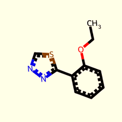 CCOc1ccccc1-c1nncs1